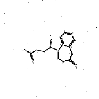 O=C(O)NCC(=O)N1CCC(=O)Nc2ccccc21